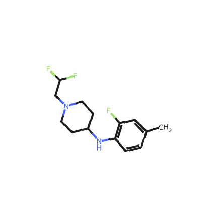 Cc1ccc(NC2CCN(CC(F)F)CC2)c(F)c1